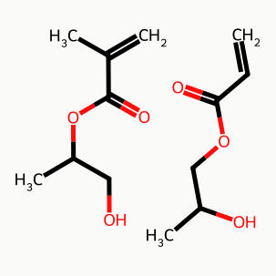 C=C(C)C(=O)OC(C)CO.C=CC(=O)OCC(C)O